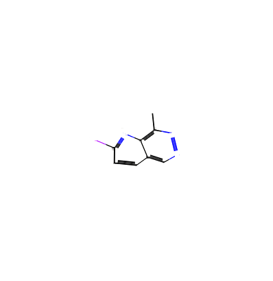 Cc1nncc2ccc(I)nc12